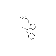 N#CC(Cc1ccccc1)c1ccccc1/C=C/C(=O)O